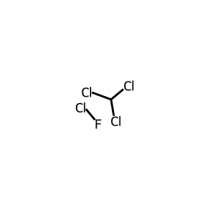 ClC(Cl)Cl.FCl